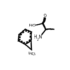 CC(N)C(=O)O.Cl.c1ccc2c(c1)C2